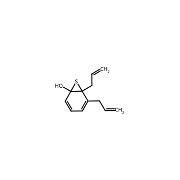 C=CCC1=CC=CC2(O)SC12CC=C